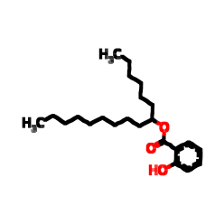 CCCCCCCCCC(CCCCCC)OC(=O)c1ccccc1O